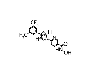 O=C(NO)c1ccc(N2C[C@@H]3C[C@H]2CN3c2cc(C(F)(F)F)cc(C(F)(F)F)c2)nc1